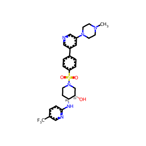 CN1CCN(c2cncc(-c3ccc(S(=O)(=O)N4CC[C@@H](Nc5ccc(C(F)(F)F)cn5)[C@@H](O)C4)cc3)c2)CC1